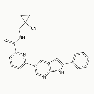 N#CC1(CNC(=O)c2cccc(-c3cnc4[nH]c(-c5ccccc5)cc4c3)n2)CC1